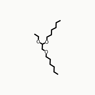 CCCCCCOCC(OCC)OCCCCCC